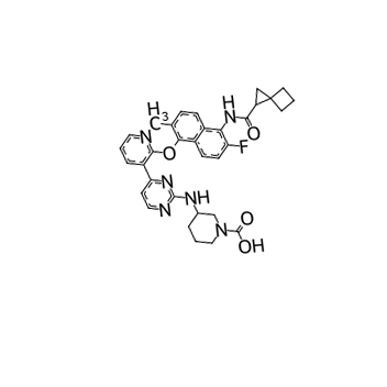 Cc1ccc2c(NC(=O)C3CC34CCC4)c(F)ccc2c1Oc1ncccc1-c1ccnc(NC2CCCN(C(=O)O)C2)n1